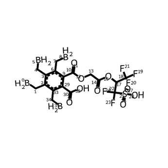 BCc1c(CB)c(CB)c(C(=O)OCC(=O)OC(C(F)(F)F)C(F)(F)S(=O)(=O)O)c(C(=O)O)c1CB